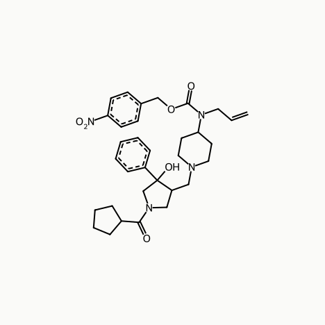 C=CCN(C(=O)OCc1ccc([N+](=O)[O-])cc1)C1CCN(CC2CN(C(=O)C3CCCC3)CC2(O)c2ccccc2)CC1